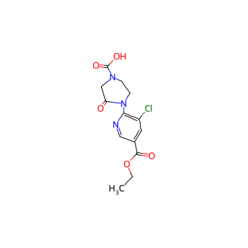 CCOC(=O)c1cnc(N2CCN(C(=O)O)CC2=O)c(Cl)c1